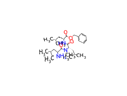 CC(C)C[C@H](NC(=O)[C@H](CC(C)C)N(C)C(=O)[C@@H](N)CC(C)C)C(=O)OCc1ccccc1